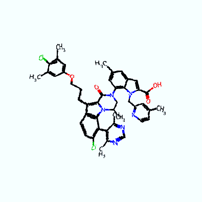 Cc1ccnc(Cn2c(C(=O)O)cc3cc(C)cc(N4CC(C)n5c(c(CCCOc6cc(C)c(Cl)c(C)c6)c6ccc(Cl)c(-c7c(C)ncnc7C)c65)C4=O)c32)c1